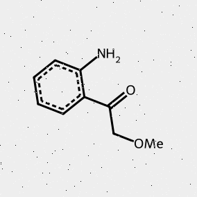 COCC(=O)c1ccccc1N